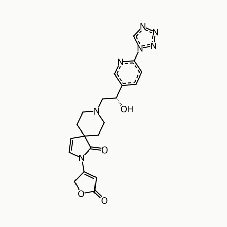 O=C1C=C(N2C=CC3(CCN(C[C@@H](O)c4ccc(-n5cnnn5)nc4)CC3)C2=O)CO1